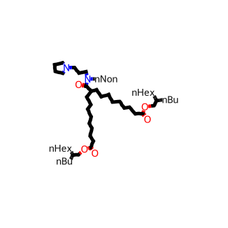 CCCCCCCCCN(CCCN1CCCC1)C(=O)C(CCCCCCCCC(=O)OCC(CCCC)CCCCCC)CCCCCCCCC(=O)OCC(CCCC)CCCCCC